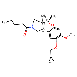 CCC[CH]C(=O)N1C[C@@H](c2ccc(OC)c(OCC3CC3)c2)[C@](C)([C@@H](C)O)C1